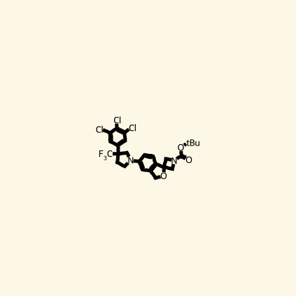 CC(C)(C)OC(=O)N1CC2(C1)OCc1cc(N3CCC(c4cc(Cl)c(Cl)c(Cl)c4)(C(F)(F)F)C3)ccc12